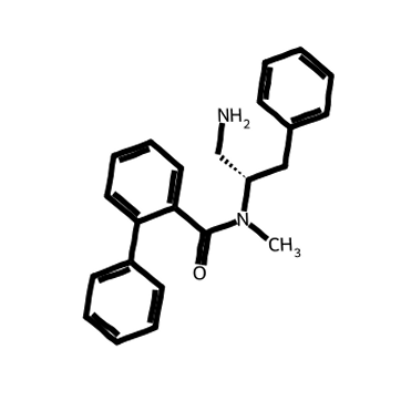 CN(C(=O)c1ccccc1-c1ccccc1)[C@H](CN)Cc1ccccc1